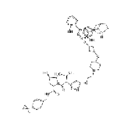 CC(C)[C@H](C(=O)N1C[C@H](O)C[C@H]1C(=O)NCc1ccc(C2(F)CC2)cc1)c1cc(OCCN2CCC(OC3CC(Oc4cc(N5C6CC[C@@H]5CN(c5cc(-c7ccccc7O)nnc5N)C6)ccn4)C3)CC2)no1